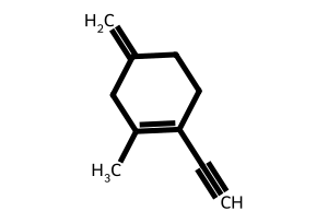 C#CC1=C(C)CC(=C)CC1